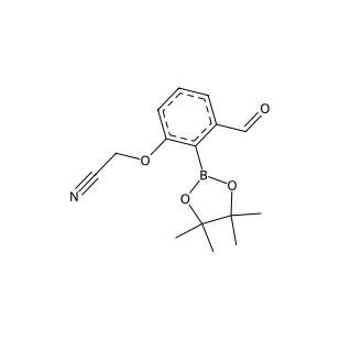 CC1(C)OB(c2c(C=O)cccc2OCC#N)OC1(C)C